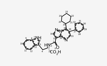 O=C(N[C@@H](Cc1c[nH]c2ccccc12)C(=O)O)c1cnn2c(C3CCCCC3)c(-c3ccccc3)cnc12